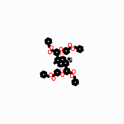 Cc1cc2c3c(cc4c([Si](C)(C)C)cc5c6c(cc1c3c46)B1c3ccc(C(=O)OCc4ccccc4)cc3Oc3cc(C(=O)OCc4ccccc4)cc-5c31)B1c3ccc(C(=O)OCc4ccccc4)cc3Oc3cc(C(=O)OCc4ccccc4)cc-2c31